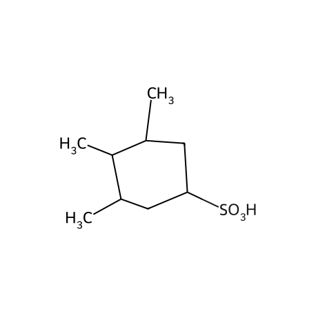 CC1CC(S(=O)(=O)O)CC(C)C1C